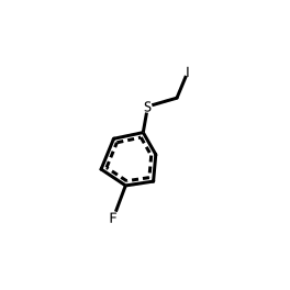 Fc1ccc(SCI)cc1